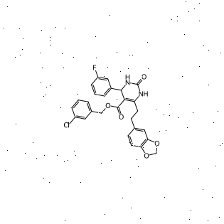 O=C1NC(CCc2ccc3c(c2)OCO3)=C(C(=O)OCc2cccc(Cl)c2)C(c2cccc(F)c2)N1